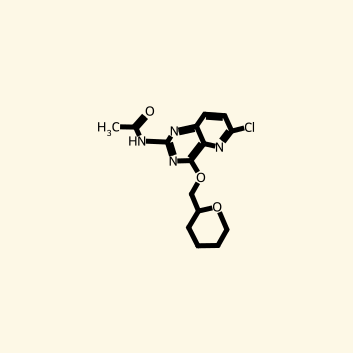 CC(=O)Nc1nc(OCC2CCCCO2)c2nc(Cl)ccc2n1